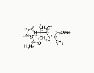 COCC(C)NC(=O)C(C)(C)n1c[c]nc1C(N)=O